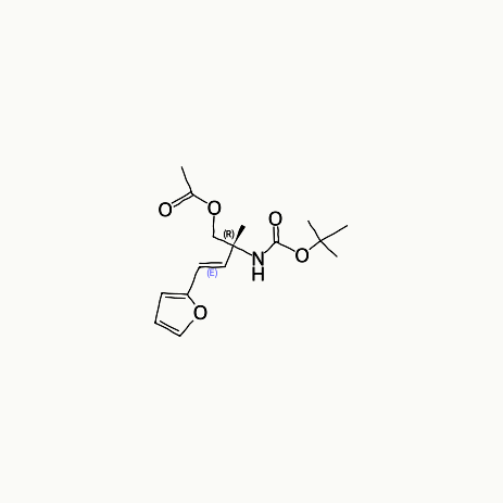 CC(=O)OC[C@@](C)(/C=C/c1ccco1)NC(=O)OC(C)(C)C